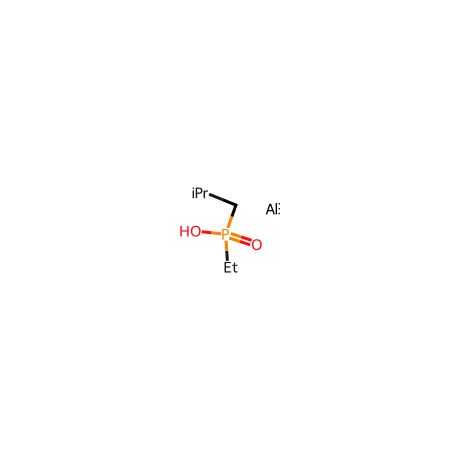 CCP(=O)(O)CC(C)C.[Al]